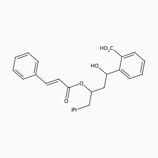 CC(C)CC(CC(O)c1ccccc1C(=O)O)OC(=O)/C=C/c1ccccc1